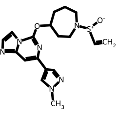 C=C[S+]([O-])N1CCCC(Oc2nc(-c3cnn(C)c3)cc3nccn23)CC1